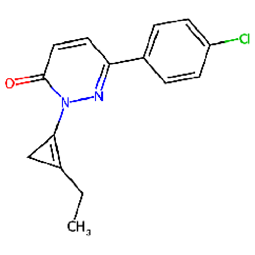 CCC1=C(n2nc(-c3ccc(Cl)cc3)ccc2=O)C1